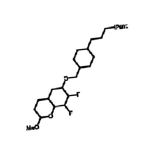 CCCC(C)CCCC1CCC(COC2CC3CCC(OC)OC3C(F)C2F)CC1